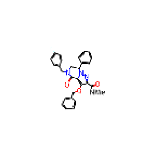 CNC(=O)c1nn2c(c1OCc1ccccc1)C(=O)N(Cc1ccc(F)cc1)CC2c1ccccc1